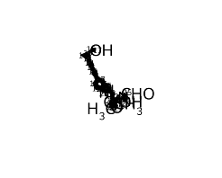 C[C@@](CCn1cc2cc(C#CC#CC3C[C@H]3CO)ccc2n1)(CN(O)C=O)S(C)(=O)=O